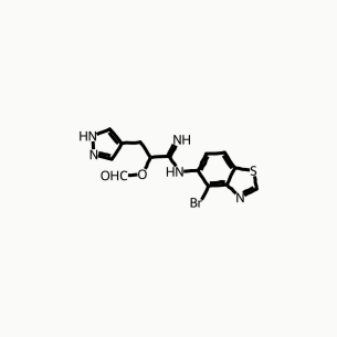 N=C(Nc1ccc2scnc2c1Br)C(Cc1cn[nH]c1)OC=O